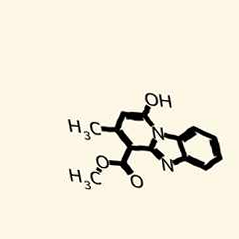 COC(=O)c1c(C)cc(O)n2c1nc1ccccc12